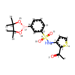 CC(=O)c1sccc1NS(=O)(=O)c1cccc(B2OC(C)(C)C(C)(C)O2)c1